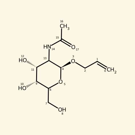 C=CCO[C@H]1OC(CO)[C@H](O)[C@H](O)C1NC(C)=O